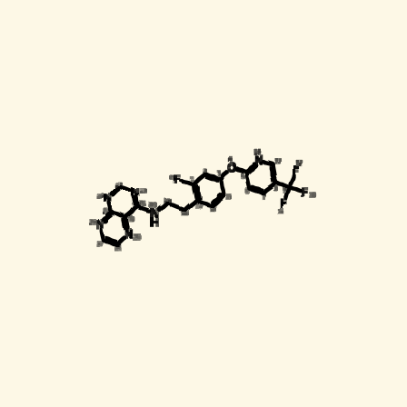 Fc1cc(Oc2ccc(C(F)(F)F)cn2)ccc1CCNc1ncnc2nccnc12